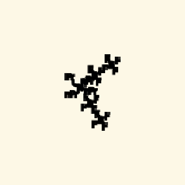 CCC[N+](CCC)(CCC)CC(C)C.F[B-](F)(F)F.F[B-](F)(F)F.F[B-](F)(F)F.F[B-](F)(F)F